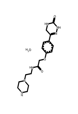 O.O=C(COc1ccc(C2=NNC(=O)NC2)cc1)NCCN1CCNCC1